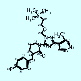 Cc1cnncc1-c1nc(N2CCCC(Cc3ccc(F)cc3)C2=O)n(COCC[Si](C)(C)C)n1